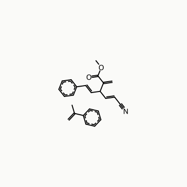 C=C(C(=O)OC)C(C=CC#N)C=Cc1ccccc1.C=C(C)c1ccccc1